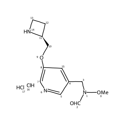 CON(C=O)Cc1cncc(OC[C@@H]2CCN2)c1.Cl.Cl